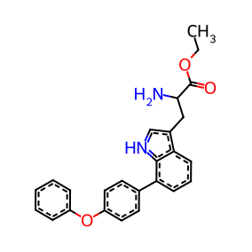 CCOC(=O)C(N)Cc1c[nH]c2c(-c3ccc(Oc4ccccc4)cc3)cccc12